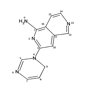 Nc1nc(N2C=NC=CC2)cc2cnccc12